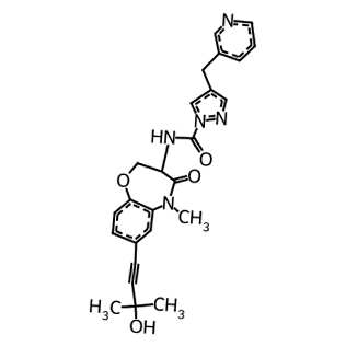 CN1C(=O)C(NC(=O)n2cc(Cc3cccnc3)cn2)COc2ccc(C#CC(C)(C)O)cc21